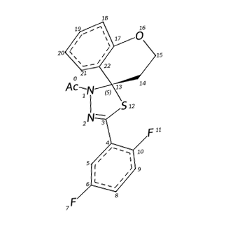 CC(=O)N1N=C(c2cc(F)ccc2F)S[C@]12CCOc1ccccc12